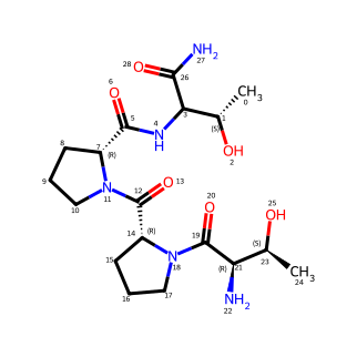 C[C@H](O)C(NC(=O)[C@H]1CCCN1C(=O)[C@H]1CCCN1C(=O)[C@H](N)[C@H](C)O)C(N)=O